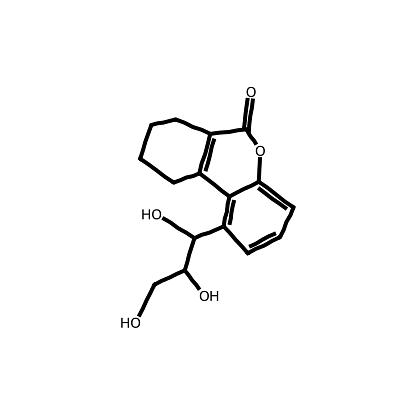 O=c1oc2cccc(C(O)C(O)CO)c2c2c1CCCC2